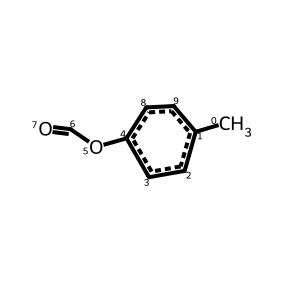 Cc1ccc(OC=O)cc1